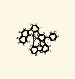 c1ccc(-c2cc3c4c5c2c2cccc6c7cccc(c7n5c62)B4n2c4c-3cccc4c3ccc4ccccc4c32)cc1